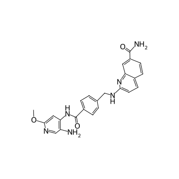 COc1cc(NC(=O)c2ccc(CNc3ccc4ccc(C(N)=O)cc4n3)cc2)c(N)cn1